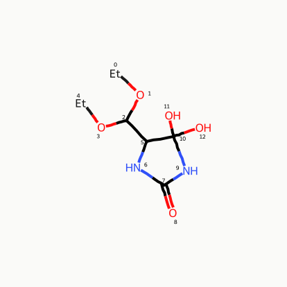 CCOC(OCC)C1NC(=O)NC1(O)O